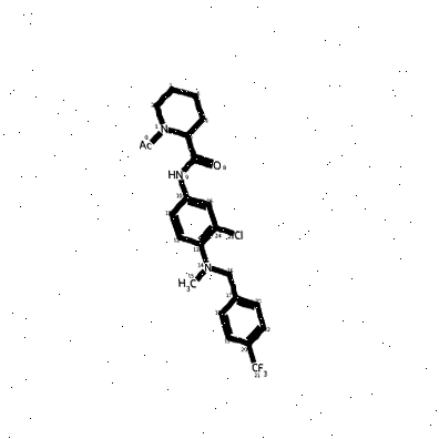 CC(=O)N1CCCCC1C(=O)Nc1ccc(N(C)Cc2ccc(C(F)(F)F)cc2)c(Cl)c1